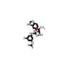 CC1=C2NOC(Nc3cc(F)cc(OC(F)F)c3)(N=C1)N2c1ccc2c(c1)NCO2